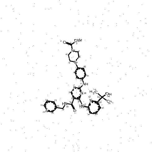 COC(=O)N1CCN(c2ccc(Nc3ncc(C(=O)NCc4cccnc4)c(Nc4cccc(C(C)(C)O)n4)n3)cc2)CC1